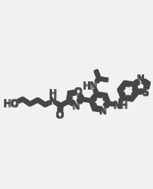 CC(C)Nc1cc(Nc2ccc3ncsc3c2)ncc1-c1nc(C(=O)NCCCCO)co1